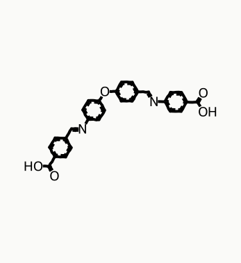 O=C(O)c1ccc(C=Nc2ccc(Oc3ccc(C=Nc4ccc(C(=O)O)cc4)cc3)cc2)cc1